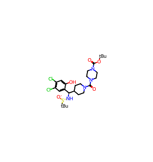 CC(C)(C)OC(=O)N1CCN(C(=O)N2CCC([C@@H](N[S+]([O-])C(C)(C)C)c3cc(Cl)c(Cl)cc3O)CC2)CC1